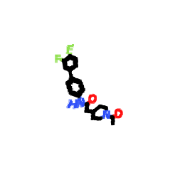 CC(=O)N1CCC(CC(=O)Nc2ccc(-c3ccc(F)c(F)c3)cc2)CC1